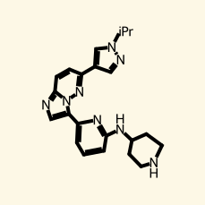 CC(C)n1cc(-c2ccc3ncc(-c4cccc(NC5CCNCC5)n4)n3n2)cn1